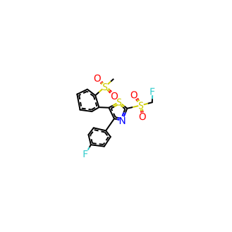 CS(=O)(=O)c1ccccc1-c1sc(S(=O)(=O)CF)nc1-c1ccc(F)cc1